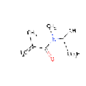 C=C(C)C(=O)N(C)C(C)C(=O)O